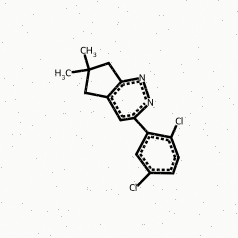 CC1(C)Cc2cc(-c3cc(Cl)ccc3Cl)nnc2C1